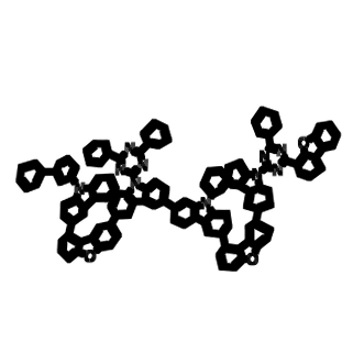 c1ccc(-c2cccc(-n3c4ccccc4c4cc(-c5cccc6oc7ccc(-c8ccc9c(c8)c8cc(-c%10ccc%11c%12cc(-c%13cccc%14oc%15ccc(-c%16ccc%17c(c%16)c%16ccccc%16n%17-c%16nc(-c%17ccccc%17)nc(-c%17cccc%18c%17oc%17ccccc%17%18)n%16)cc%15c%13%14)ccc%12n(-c%12ccccc%12)c%11c%10)ccc8n9-c8nc(-c9ccccc9)nc(-c9ccccc9)n8)cc7c56)ccc43)c2)cc1